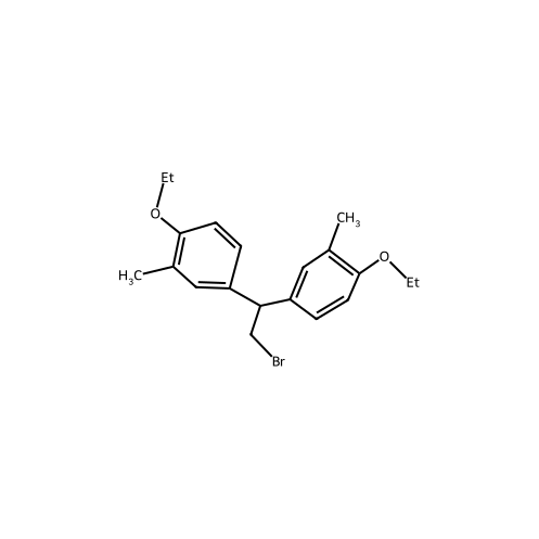 CCOc1ccc(C(CBr)c2ccc(OCC)c(C)c2)cc1C